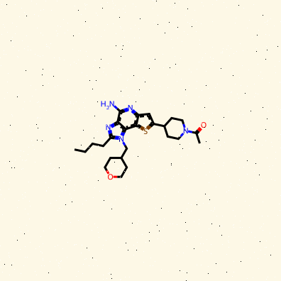 CCCCc1nc2c(N)nc3cc(C4CCN(C(C)=O)CC4)sc3c2n1CC1CCOCC1